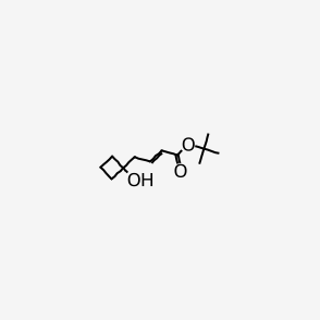 CC(C)(C)OC(=O)C=CCC1(O)CCC1